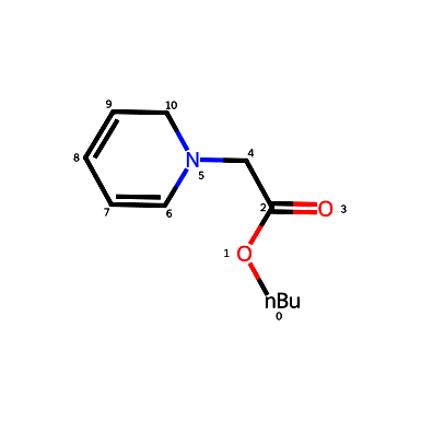 CCCCOC(=O)CN1C=CC=CC1